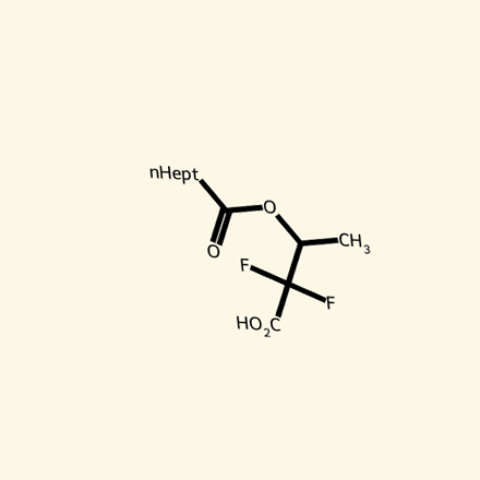 CCCCCCCC(=O)OC(C)C(F)(F)C(=O)O